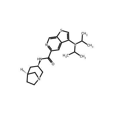 CC(C)N(c1csc2cnc(C(=O)N[C@@H]3C[C@@H]4CCN(C4)C3)cc12)C(C)C